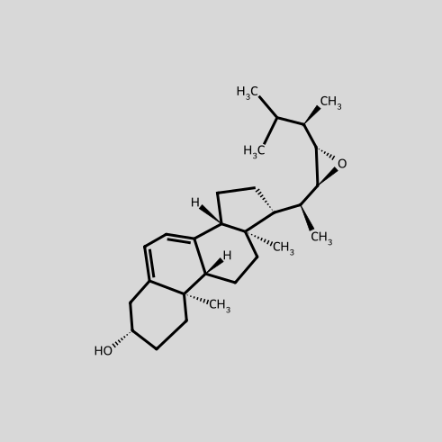 CC(C)[C@@H](C)[C@@H]1O[C@H]1[C@@H](C)[C@H]1CC[C@H]2C3=CC=C4C[C@@H](O)CC[C@]4(C)[C@H]3CC[C@]12C